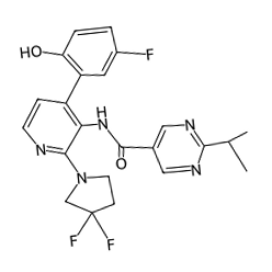 CC(C)c1ncc(C(=O)Nc2c(-c3cc(F)ccc3O)ccnc2N2CCC(F)(F)C2)cn1